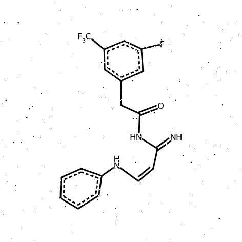 N=C(/C=C\Nc1ccccc1)NC(=O)Cc1cc(F)cc(C(F)(F)F)c1